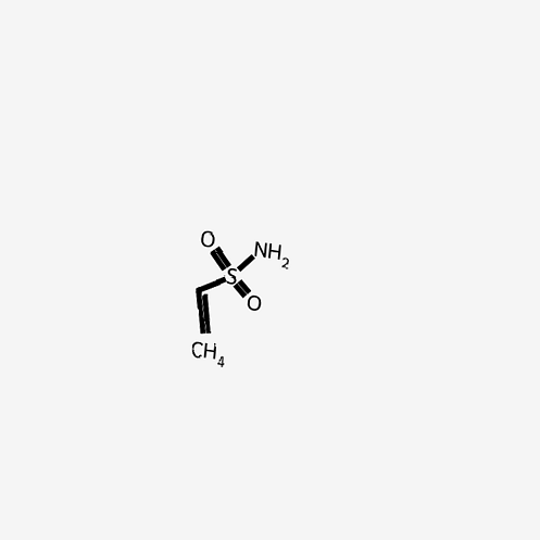 C.C=CS(N)(=O)=O